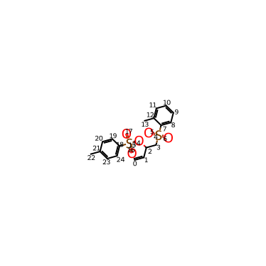 C=CC(CS(=O)(=O)c1ccccc1C)OS(=O)(=O)c1ccc(C)cc1